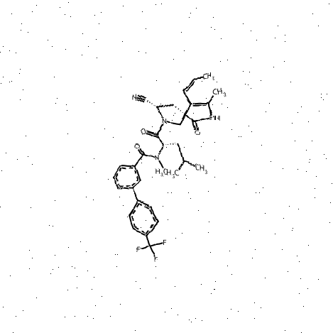 C/C=C\C1=C(C)PC(=O)[C@]12C[C@@H](C#N)N(C(=O)[C@H](CC(C)C)N(C)C(=O)c1cccc(-c3ccc(C(F)(F)F)cc3)c1)C2